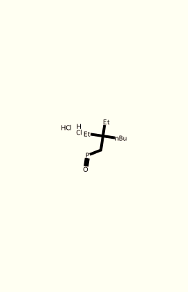 CCCCC(CC)(CC)CP=O.Cl.Cl